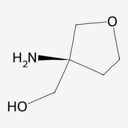 N[C@]1(CO)CCOC1